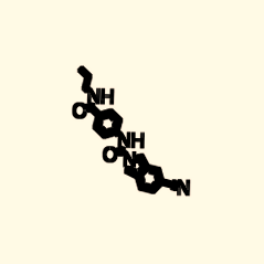 CCCNC(=O)c1ccc(NC(=O)n2cc3ccc(C#N)cc3c2)cc1